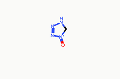 O=[N+]1CNN=N1